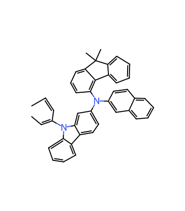 C/C=C\C(=C/C)n1c2ccccc2c2ccc(N(c3ccc4ccccc4c3)c3cccc4c3-c3ccccc3C4(C)C)cc21